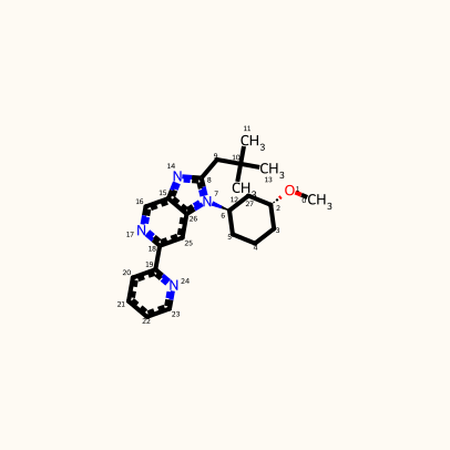 CO[C@@H]1CCC[C@@H](n2c(CC(C)(C)C)nc3cnc(-c4ccccn4)cc32)C1